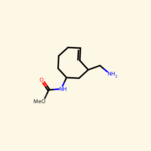 COC(=O)NC1CCC/C=C/C(CN)C1